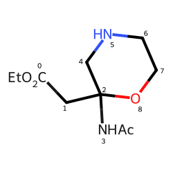 CCOC(=O)CC1(NC(C)=O)CNCCO1